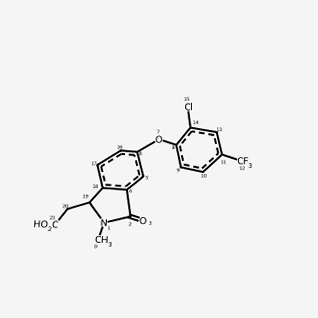 CN1C(=O)c2cc(Oc3ccc(C(F)(F)F)cc3Cl)ccc2C1CC(=O)O